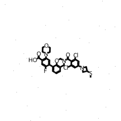 CSC1CN(c2cc(Cl)c(C(=O)N3COc4c(cccc4-c4cc(N5CCOCC5)c(C(=O)O)cc4F)C3)c(Cl)c2)C1